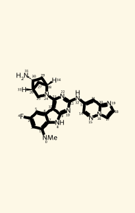 CNc1cc(F)cc2c1[nH]c1nc(Nc3cnn4ccnc4c3)nc(N3C[C@H]4C[C@@H]3C[C@H]4N)c12